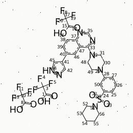 O=C(O)C(F)(F)F.O=C(O)C(F)(F)F.O=C(O)C(F)(F)F.O=S(=O)(c1cccc(N2CCN(c3ncnc4ccc(-c5cn[nH]c5)cc34)CC2)c1)N1CCCCC1